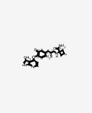 Cc1c[nH]c2nccc(Oc3ccc(C[C@H](N)CNC4(C(N)=O)CCC4)cc3F)c12